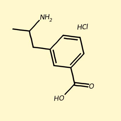 CC(N)Cc1cccc(C(=O)O)c1.Cl